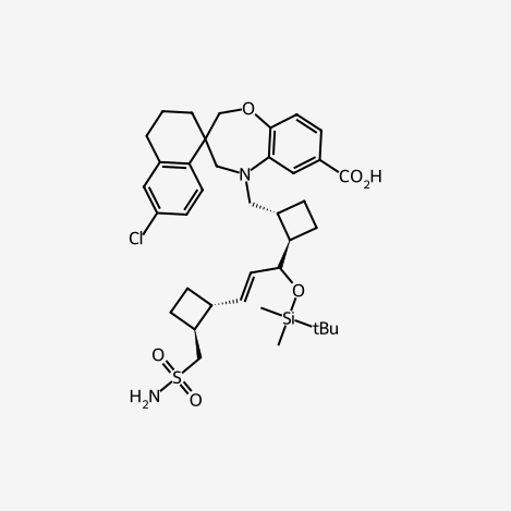 CC(C)(C)[Si](C)(C)OC(/C=C/[C@H]1CC[C@@H]1CS(N)(=O)=O)[C@@H]1CC[C@H]1CN1CC2(CCCc3cc(Cl)ccc32)COc2ccc(C(=O)O)cc21